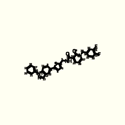 O=C(NCc1ccc(-c2ccc3c(cnn3-c3ccccc3)c2)s1)c1cccn(Cc2ccc(F)c(F)c2)c1=O